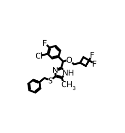 Cc1[nH]c(C(OCC2CC(F)(F)C2)c2ccc(F)c(Cl)c2)nc1SCc1ccccc1